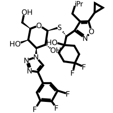 CC(C)Cc1c([C@@H](S[C@@H]2O[C@H](CO)[C@H](O)[C@H](n3cc(-c4cc(F)c(F)c(F)c4)nn3)[C@H]2O)C2(O)CCC(F)(F)CC2)noc1C1CC1